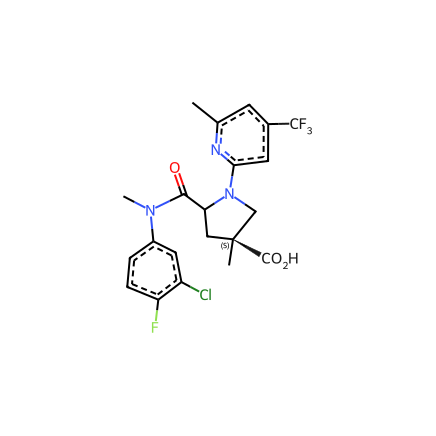 Cc1cc(C(F)(F)F)cc(N2C[C@@](C)(C(=O)O)CC2C(=O)N(C)c2ccc(F)c(Cl)c2)n1